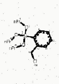 CCCO[Si](OCCC)(OCCC)c1ccccc1CCl